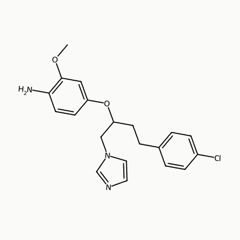 COc1cc(OC(CCc2ccc(Cl)cc2)Cn2ccnc2)ccc1N